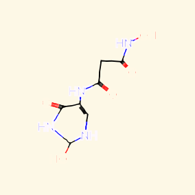 O=C(CC(=O)NC1=CNC(O)NC1=O)NO